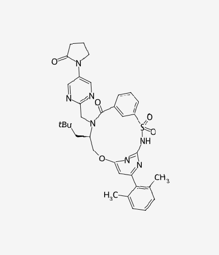 Cc1cccc(C)c1-c1cc2nc(n1)NS(=O)(=O)c1cccc(c1)C(=O)N(Cc1ncc(N3CCCC3=O)cn1)[C@H](CC(C)(C)C)CO2